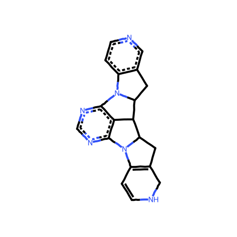 C1=CC2=C(CN1)CC1C3c4c(ncnc4N4c5ccncc5CC34)N21